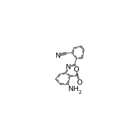 N#Cc1ccccc1-c1nc2cccc(N)c2c(=O)o1